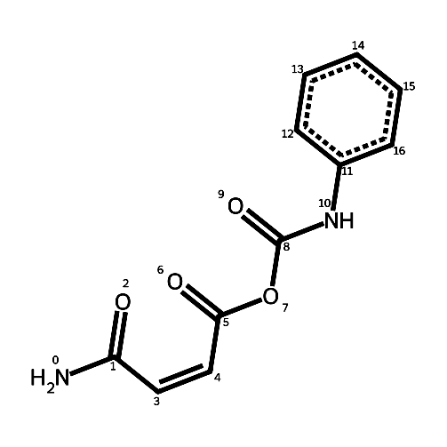 NC(=O)/C=C\C(=O)OC(=O)Nc1ccccc1